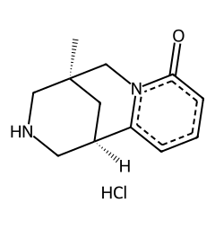 C[C@@]12CNC[C@@H](C1)c1cccc(=O)n1C2.Cl